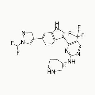 FC(F)n1cc(-c2ccc3c(-c4nc(N[C@H]5CCCNC5)ncc4C(F)(F)F)c[nH]c3c2)cn1